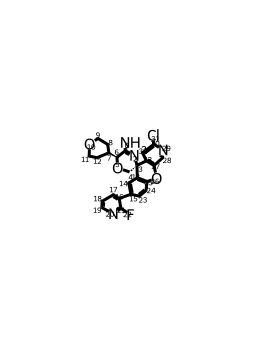 NC1=N[C@]2(CO[C@H]1C1CCOCC1)c1cc(-c3cccnc3F)ccc1Oc1cnc(Cl)cc12